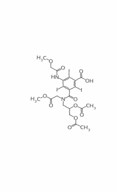 COCC(=O)Nc1c(I)c(C(=O)O)c(I)c(C(=O)N(CC(=O)OC)CC(COC(C)=O)OC(C)=O)c1I